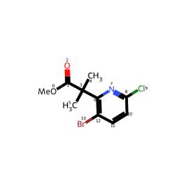 COC(=O)C(C)(C)c1nc(Cl)ccc1Br